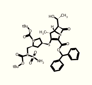 C[C@@H](O)[C@H]1C(=O)N2C(C(=O)OC(c3ccccc3)c3ccccc3)=C(S[C@H]3C[C@@H](CN(C(=O)OC(C)(C)C)S(N)(=O)=O)N(C(=O)OC(C)(C)C)C3)[C@H](C)[C@H]12